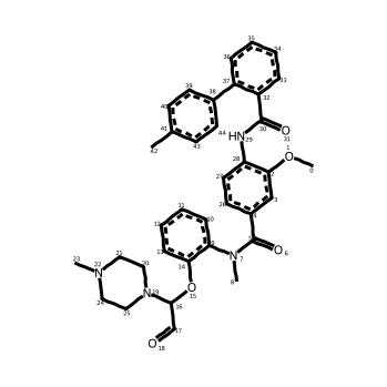 COc1cc(C(=O)N(C)c2ccccc2OC(C=O)N2CCN(C)CC2)ccc1NC(=O)c1ccccc1-c1ccc(C)cc1